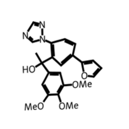 COc1cc(C(C)(O)c2cc(-c3ccco3)ccc2-n2cncn2)cc(OC)c1OC